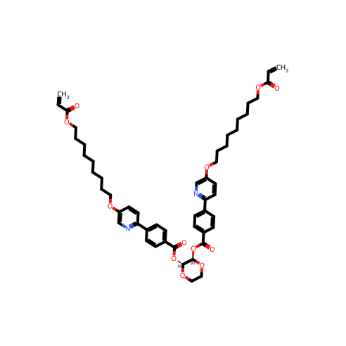 C=CC(=O)OCCCCCCCCCOc1ccc(-c2ccc(C(=O)O[C@H]3OCCO[C@@H]3OC(=O)c3ccc(-c4ccc(OCCCCCCCCCOC(=O)C=C)cn4)cc3)cc2)nc1